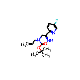 C=CCN(CC(=N)c1ccc(F)cn1)C(=O)OC(C)(C)C